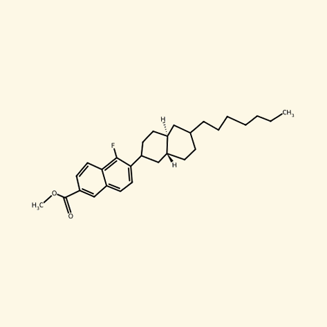 CCCCCCCC1CC[C@@H]2CC(c3ccc4cc(C(=O)OC)ccc4c3F)CC[C@H]2C1